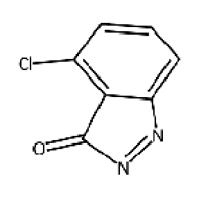 O=C1N=Nc2cccc(Cl)c21